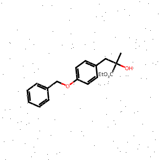 CCOC(=O)C(C)(O)Cc1ccc(OCc2ccccc2)cc1